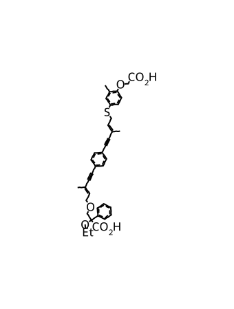 CCOC(COCC=C(C)C#Cc1ccc(C#CC(C)=CCSc2ccc(OCC(=O)O)c(C)c2)cc1)(C(=O)O)c1ccccc1